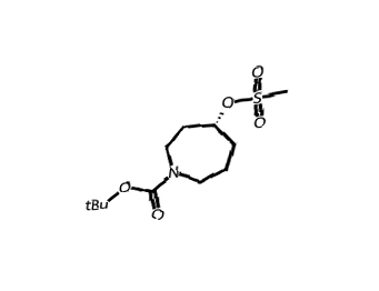 CC(C)(C)OC(=O)N1CCC[C@@H](OS(C)(=O)=O)CC1